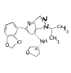 CC(C)n1ncc2nc(-c3cccc4c3OCO4)cc(N[C@@H]3CCOC3)c21